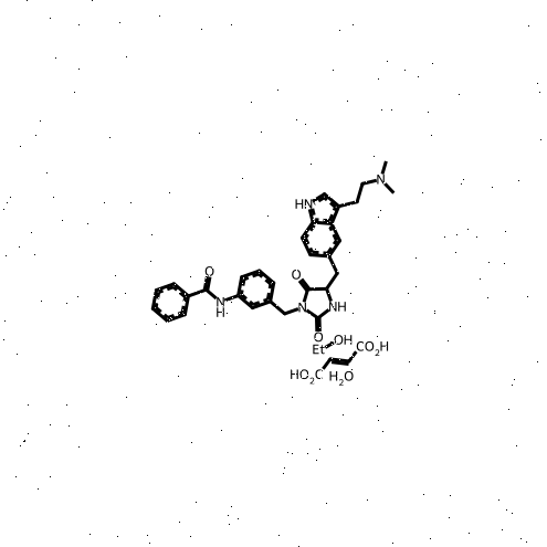 CCO.CN(C)CCc1c[nH]c2ccc(CC3NC(=O)N(Cc4cccc(NC(=O)c5ccccc5)c4)C3=O)cc12.O.O=C(O)C=CC(=O)O